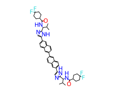 CC(C)C(NC(=O)C1CCC(F)(F)CC1)c1ncc(-c2ccc3cc(-c4ccc5cc(-c6cnc(C(NC(=O)C7CCC(F)(F)CC7)C(C)C)[nH]6)ccc5c4)ccc3c2)[nH]1